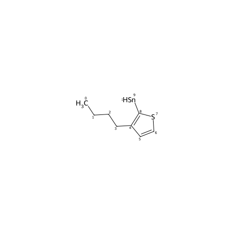 CCCCc1ccs[c]1[SnH]